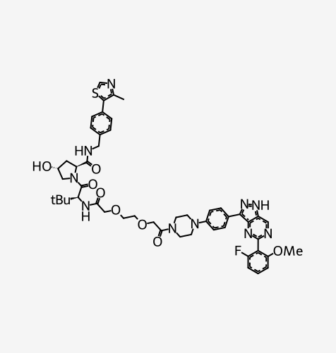 COc1cccc(F)c1-c1ncc2[nH]nc(-c3ccc(N4CCN(C(=O)COCCOCC(=O)N[C@H](C(=O)N5C[C@H](O)C[C@H]5C(=O)NCc5ccc(-c6scnc6C)cc5)C(C)(C)C)CC4)cc3)c2n1